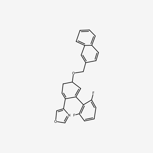 Fc1cccc(F)c1C1=CC(OCc2ccc3ccccc3c2)CC=C1c1cocn1